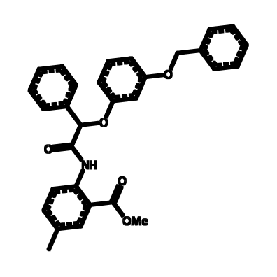 COC(=O)c1cc(C)ccc1NC(=O)C(Oc1cccc(OCc2ccccc2)c1)c1ccccc1